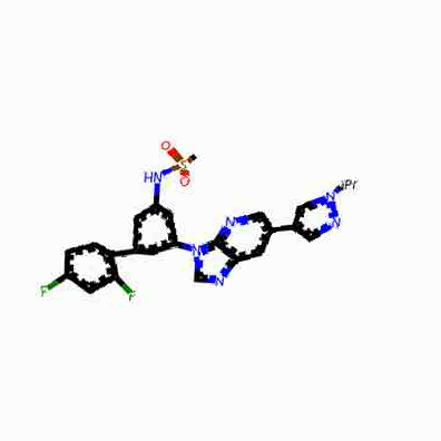 CC(C)n1cc(-c2cnc3c(c2)ncn3-c2cc(NS(C)(=O)=O)cc(-c3ccc(F)cc3F)c2)cn1